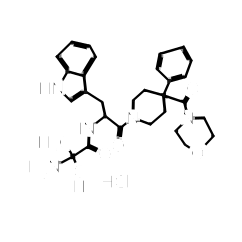 CC(C)(N)C(=O)NC(Cc1c[nH]c2ccccc12)C(=O)N1CCC(C(=O)N2CCOCC2)(c2ccccc2)CC1.Cl